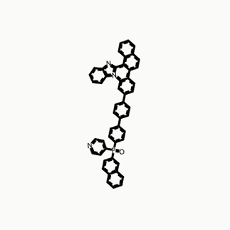 O=P(c1ccncc1)(c1ccc(-c2ccc(-c3ccc4c5ccc6ccccc6c5c5nc6ccccc6n5c4c3)cc2)cc1)c1ccc2ccccc2c1